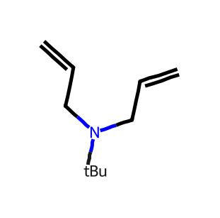 C=CCN(CC=C)C(C)(C)C